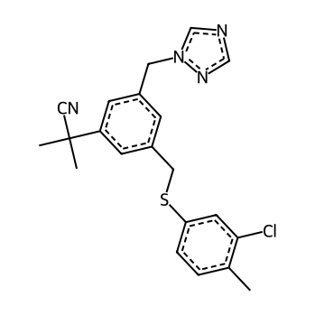 Cc1ccc(SCc2cc(Cn3cncn3)cc(C(C)(C)C#N)c2)cc1Cl